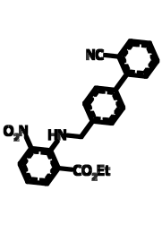 CCOC(=O)c1cccc([N+](=O)[O-])c1NCc1ccc(-c2ccccc2C#N)cc1